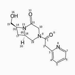 O=C(Cc1ccccn1)N1CC(=O)N2[C@H](CO)C[C@@H]2C1